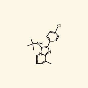 Cc1cccn2c(NC(C)(C)C)c(-c3ccc(Cl)cc3)nc12